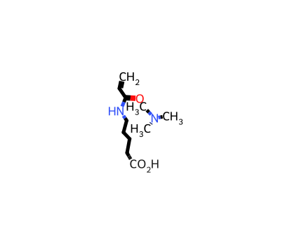 C=CC(=O)NCCCCC(=O)O.CN(C)C